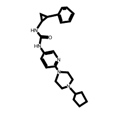 O=C(Nc1ccc(N2CCN(C3CCCC3)CC2)nc1)NC1CC1c1ccccc1